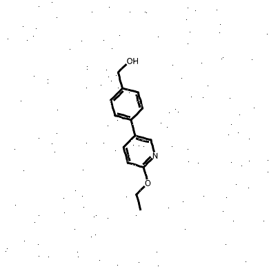 CCOc1ccc(-c2ccc(CO)cc2)cn1